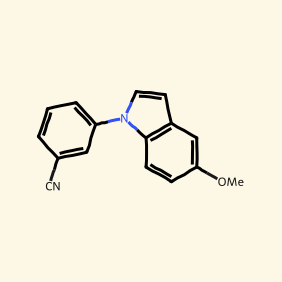 COc1ccc2c(ccn2-c2cccc(C#N)c2)c1